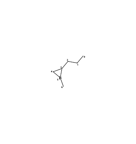 CCCC1CB1C